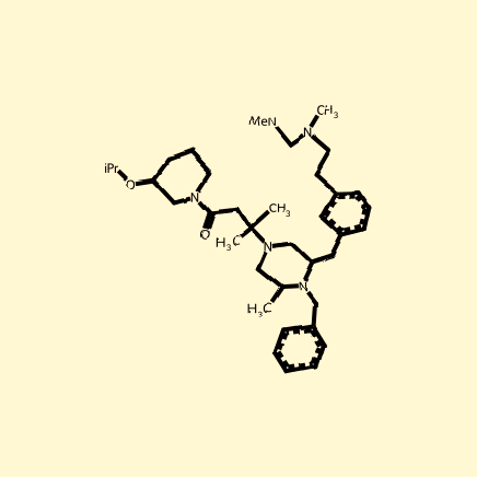 CNCN(C)CCc1cccc(CC2CN(C(C)(C)CC(=O)N3CCCC(OC(C)C)C3)CC(C)N2Cc2ccccc2)c1